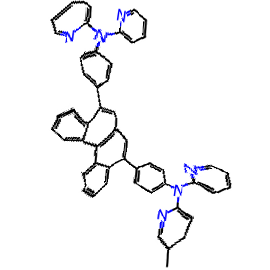 CC1C=NC(N(c2ccc(-c3cc4cc(-c5ccc(N(c6ccccn6)c6ccccn6)cc5)c5ccccc5c4c4ccccc34)cc2)c2ccccn2)=CC1